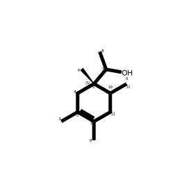 CC1=C(C)C[C@](C)(C(C)O)C(C)C1